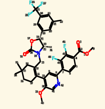 COC(=O)c1ccc(-c2cc(C3=C(CN4C(=O)O[C@H](c5cc(C)cc(C(F)(F)F)c5)[C@@H]4C)CC(C)(C)CC3)c(OC)cn2)c(F)c1F